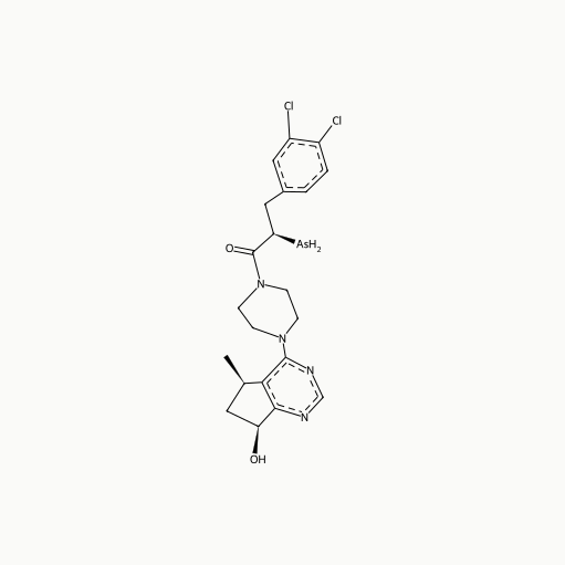 C[C@@H]1C[C@H](O)c2ncnc(N3CCN(C(=O)[C@H]([AsH2])Cc4ccc(Cl)c(Cl)c4)CC3)c21